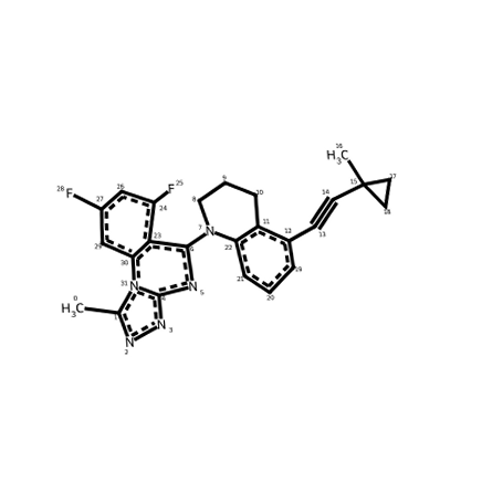 Cc1nnc2nc(N3CCCc4c(C#CC5(C)CC5)cccc43)c3c(F)cc(F)cc3n12